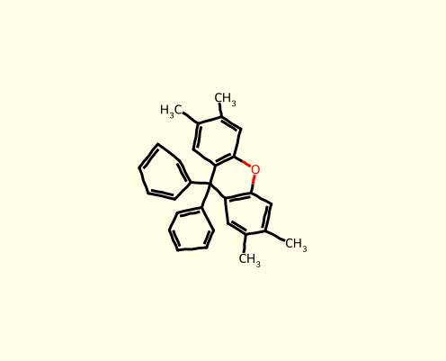 Cc1cc2c(cc1C)C(c1ccccc1)(c1ccccc1)c1cc(C)c(C)cc1O2